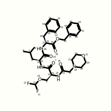 CC(C)C[C@H](NC(=O)[C@H](COC(F)F)NC(=O)CN1CCOCC1)C(=O)N[C@@H](Cc1ccccc1)C(=O)OCc1ccccc1